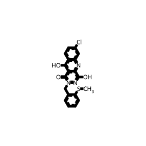 CSc1ccccc1Cn1nc(O)c2nc3cc(Cl)ccc3c(O)c2c1=O